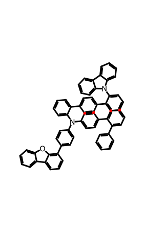 c1ccc(-c2ccccc2-c2ccc(N(c3ccc(-c4cccc5c4oc4ccccc45)cc3)c3ccccc3-c3ccc(-c4ccccc4-n4c5ccccc5c5ccccc54)cc3)cc2)cc1